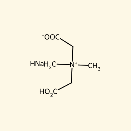 C[N+](C)(CC(=O)[O-])CC(=O)O.[NaH]